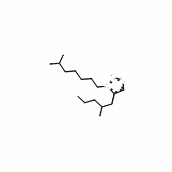 CCCC(C)Cc1cnnn1CCCCCC(C)C